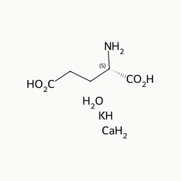 N[C@@H](CCC(=O)O)C(=O)O.O.[CaH2].[KH]